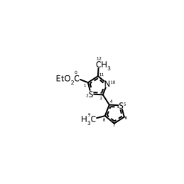 CCOC(=O)c1sc(-c2sccc2C)nc1C